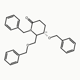 O=C1CC[C@H](OCc2ccccc2)C(COCc2ccccc2)N1Cc1ccccc1